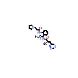 CC(NC(=O)/C(C#N)=C/c1cncnn1)c1ccccc1NC(=O)CCN1CCCC1